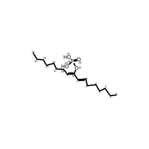 CCCCCCC=CC(=CCCCCCCC)OP(=O)(O)O